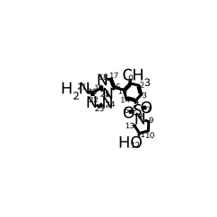 Cc1ccc(S(=O)(=O)N2CCC(O)C2)cc1-c1cnc2c(N)ncnn12